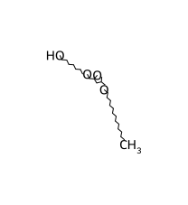 CCCCCCCCCCCCCCOCC1COC(COCCCCCCCO)C1